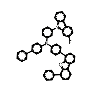 Fc1ccc2c3ccccc3n(-c3cccc(N(c4ccc(-c5ccccc5)cc4)c4ccc(-c5cccc6c5oc5c(-c7ccccc7)cccc56)cc4)c3)c2c1